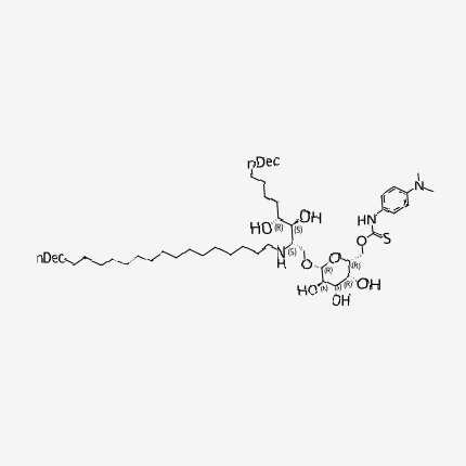 CCCCCCCCCCCCCCCCCCCCCCCCCCN[C@@H](CO[C@@H]1O[C@H](COC(=S)Nc2ccc(N(C)C)cc2)[C@H](O)[C@H](O)[C@H]1O)[C@H](O)[C@H](O)CCCCCCCCCCCCCC